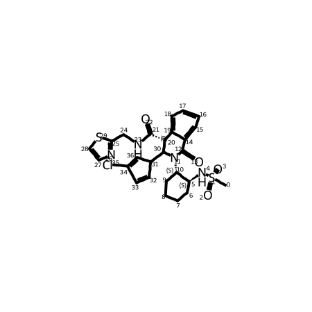 CS(=O)(=O)N[C@H]1CCCC[C@@H]1N1C(=O)c2ccccc2[C@@H](C(=O)NCc2nccs2)C1C1C=CC(Cl)=C1